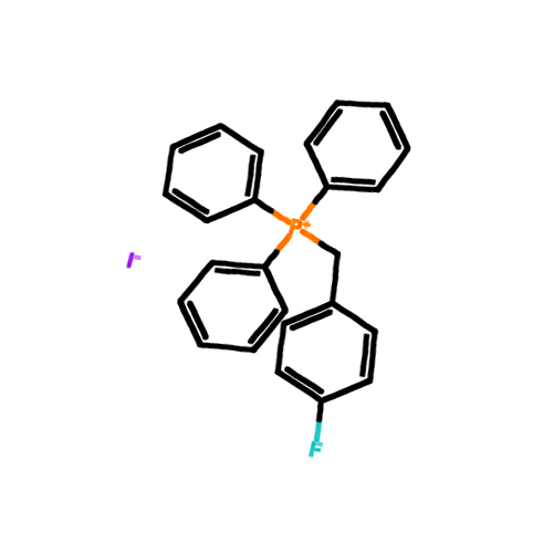 Fc1ccc(C[P+](c2ccccc2)(c2ccccc2)c2ccccc2)cc1.[I-]